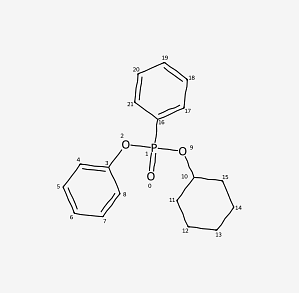 O=P(Oc1ccccc1)(OC1CCCCC1)c1ccccc1